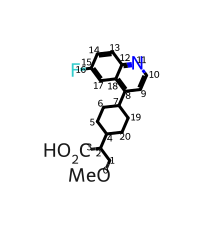 COCC(C(=O)O)C1CCC(c2ccnc3ccc(F)cc23)CC1